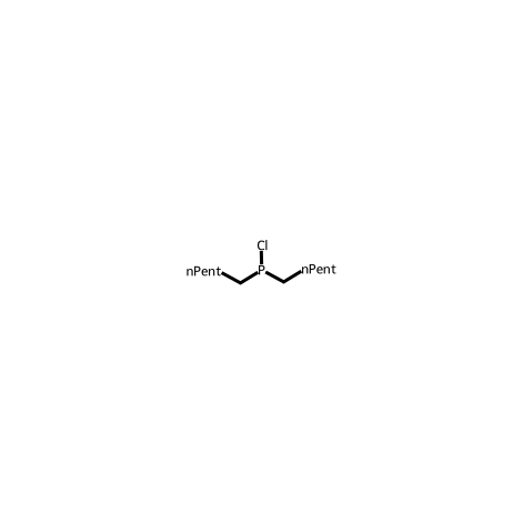 CCCCCCP(Cl)CCCCCC